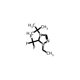 CCN1N=CN(C(C)(C)C)C1C(F)(F)F